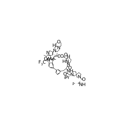 CO[C@@H](C)c1ncc(N2CCN3CCOC[C@@H]3C2)cc1-c1c2c3cc(ccc3n1CC(F)(F)F)-c1cccc(c1)C[C@H](NC(=O)[C@H](C(C)C)N1CC[C@]3(CCN(C(=O)[C@@H]4N[C@@H]4C4CC4)C3)C1)C(=O)N1CCC[C@H](N1)C(=O)OCC(C)(C)C2